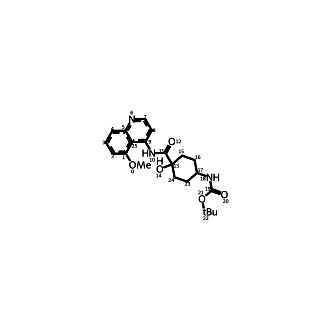 COc1cccc2nccc(NC(=O)C3(O)CCC(NC(=O)OC(C)(C)C)CC3)c12